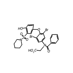 O=C(O)CN(C(=O)c1ccccc1)c1cc(Br)c(Oc2ccc(O)c(S(=O)(=O)N3CCCCC3)c2)c(Br)c1